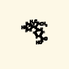 CC(C)C(c1ccc(C(=O)O)cc1)C1CCNCC1